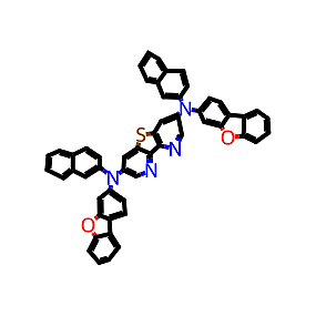 c1ccc2cc(N(c3ccc4c(c3)oc3ccccc34)c3cnc4c(c3)sc3cc(N(c5ccc6ccccc6c5)c5ccc6c(c5)oc5ccccc56)cnc34)ccc2c1